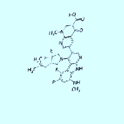 CNc1cc(F)c(F)c2c1[nH]c1ncc(-c3cnc4c(c3)C(=O)C(C(=O)O)CN4C)c(N3CC(CN(C)C)C(F)(F)C3)c12